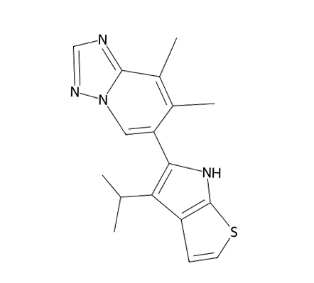 Cc1c(-c2[nH]c3sccc3c2C(C)C)cn2ncnc2c1C